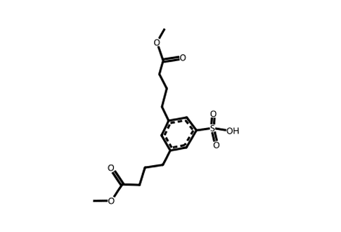 COC(=O)CCCc1cc(CCCC(=O)OC)cc(S(=O)(=O)O)c1